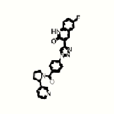 O=C(c1ccc(-n2cc(-c3cc4cc(F)ccc4[nH]c3=O)nn2)cc1)N1CCCC1c1cccnc1